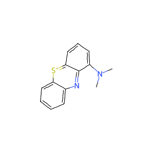 CN(C)c1cccc2[s+]c3ccccc3nc12